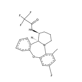 Cc1cc(F)cc2c1N1CCC[C@H](NC(=O)C(F)(F)F)[C@@H]1c1ccccc1O2